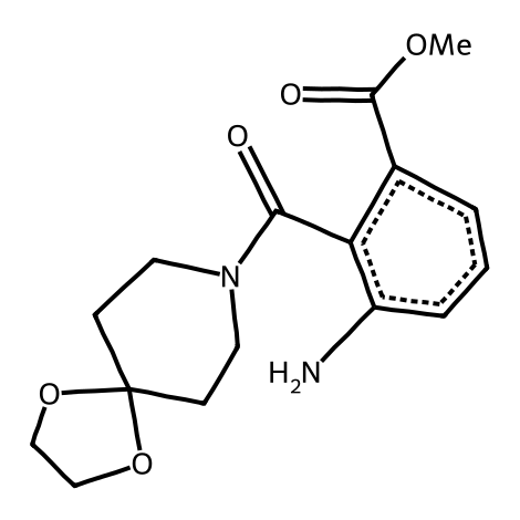 COC(=O)c1cccc(N)c1C(=O)N1CCC2(CC1)OCCO2